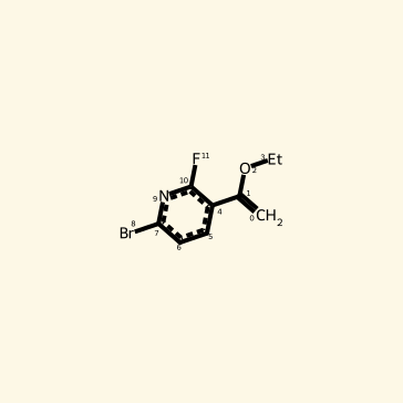 C=C(OCC)c1ccc(Br)nc1F